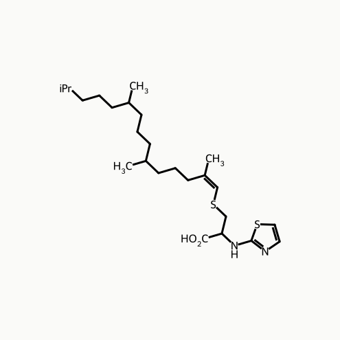 CC(=CSCC(Nc1nccs1)C(=O)O)CCCC(C)CCCC(C)CCCC(C)C